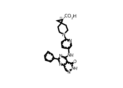 O=C(O)[C@H]1CC12CCN(c1ccc(Nc3nc(-c4ccccc4)nc4cn[nH]c(=O)c34)cn1)CC2